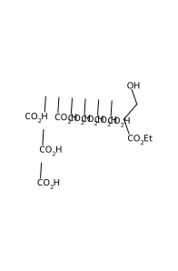 CC(=O)O.CC(=O)O.CC(=O)O.CC(=O)O.CC(=O)O.CC(=O)O.CC(=O)O.CC(=O)O.CCOC(=O)CCO